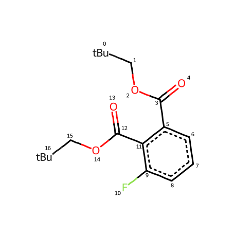 CC(C)(C)COC(=O)c1cccc(F)c1C(=O)OCC(C)(C)C